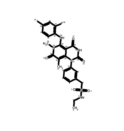 CCNS(=O)(=O)Cc1cccc(-n2c(=O)[nH]c(=O)c3c(Nc4ccc(I)cc4F)n(C)c(=O)c(C)c32)c1